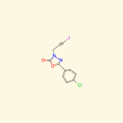 O=c1oc(-c2ccc(Cl)cc2)nn1CC#CI